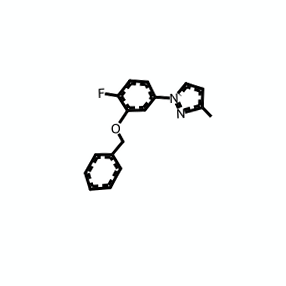 Cc1ccn(-c2ccc(F)c(OCc3ccccc3)c2)n1